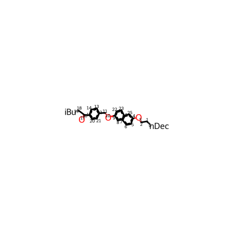 CCCCCCCCCCCCOc1ccc2cc(OCc3ccc(C(=O)C[C@H](C)CC)cc3)ccc2c1